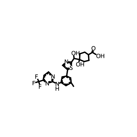 Cc1cc(Nc2nccc(C(F)(F)F)n2)cc(-c2cnc(C(O)C3(O)CCC(C(=O)O)CC3)s2)c1